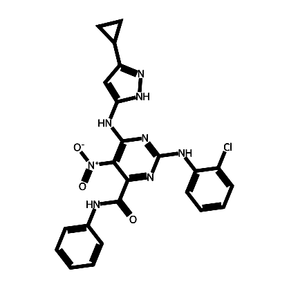 O=C(Nc1ccccc1)c1nc(Nc2ccccc2Cl)nc(Nc2cc(C3CC3)n[nH]2)c1[N+](=O)[O-]